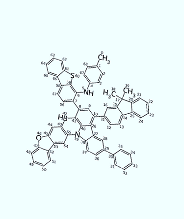 Cc1ccc(Nc2c(-c3cc(-c4ccc5c(c4)C(C)(C)c4ccccc4-5)c4c5cc(-c6ccccc6)ccc5n5c4c3Bc3cc4oc6ccccc6c4cc3-5)ccc3c2sc2ccccc23)cc1